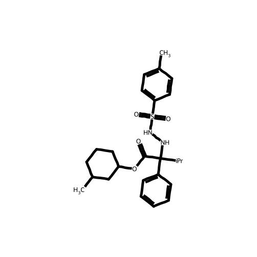 Cc1ccc(S(=O)(=O)NNC(C(=O)OC2CCCC(C)C2)(c2ccccc2)C(C)C)cc1